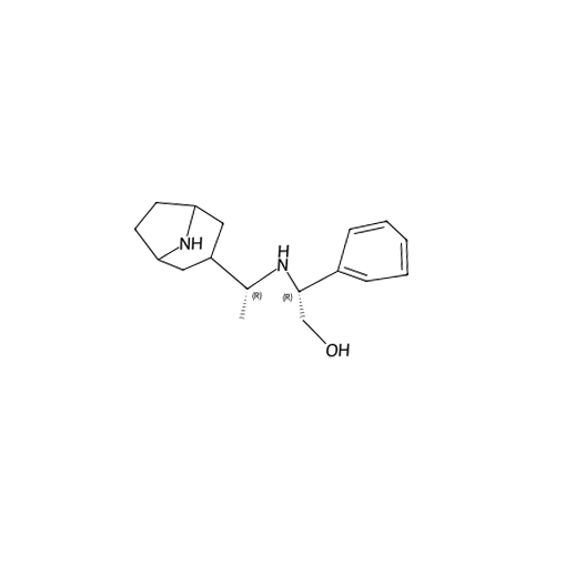 C[C@@H](N[C@@H](CO)c1ccccc1)C1CC2CCC(C1)N2